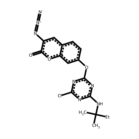 CCC(C)(C)Nc1nc(Cl)nc(Oc2ccc3cc(N=[N+]=[N-])c(=O)oc3c2)n1